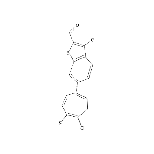 O=Cc1sc2cc(C3=CCC(Cl)=C(F)C=C3)ccc2c1Cl